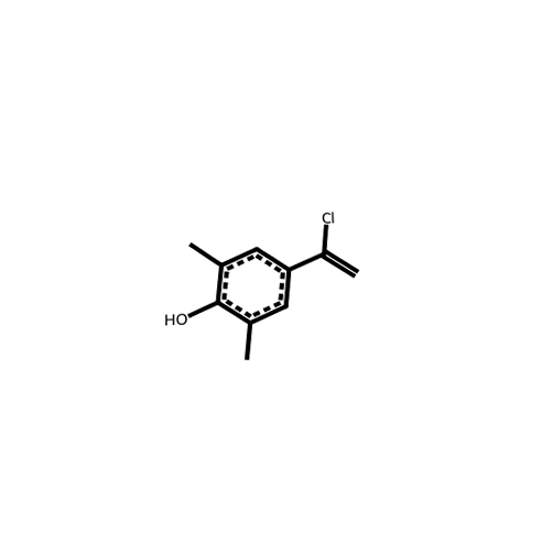 C=C(Cl)c1cc(C)c(O)c(C)c1